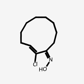 ON=C1CCCCCCCC/C=C/1Cl